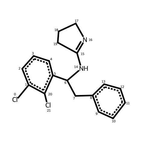 Clc1cccc(C(Cc2ccccc2)NC2=NCCC2)c1Cl